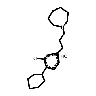 Cl.Clc1cc(CCCN2CCCCCC2)ccc1C1CCCCC1